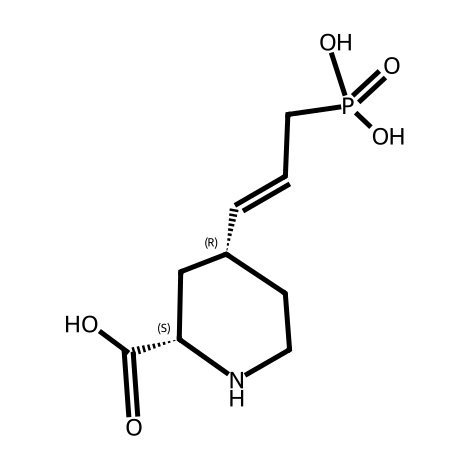 O=C(O)[C@@H]1C[C@H](C=CCP(=O)(O)O)CCN1